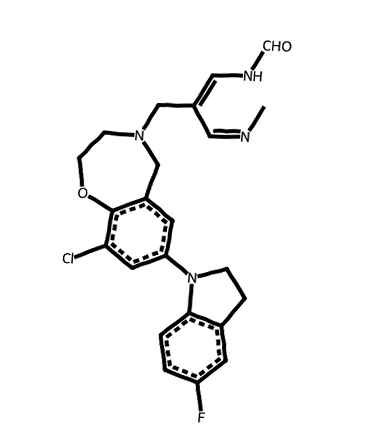 C/N=C\C(=C/NC=O)CN1CCOc2c(Cl)cc(N3CCc4cc(F)ccc43)cc2C1